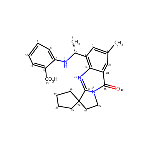 Cc1cc([C@@H](C)Nc2ccccc2C(=O)O)c2nc3n(c(=O)c2c1)CCC31CCCC1